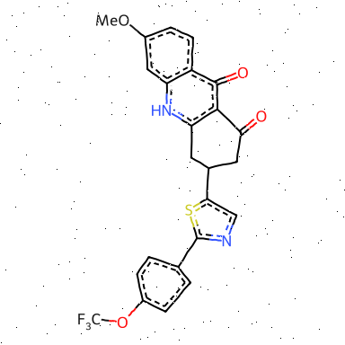 COc1ccc2c(=O)c3c([nH]c2c1)CC(c1cnc(-c2ccc(OC(F)(F)F)cc2)s1)CC3=O